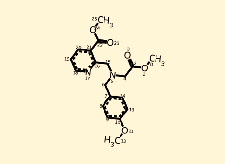 COC(=O)CN(Cc1ccc(OC)cc1)Cc1ncccc1C(=O)OC